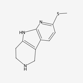 CSc1ccc2c3c([nH]c2n1)CCNC3